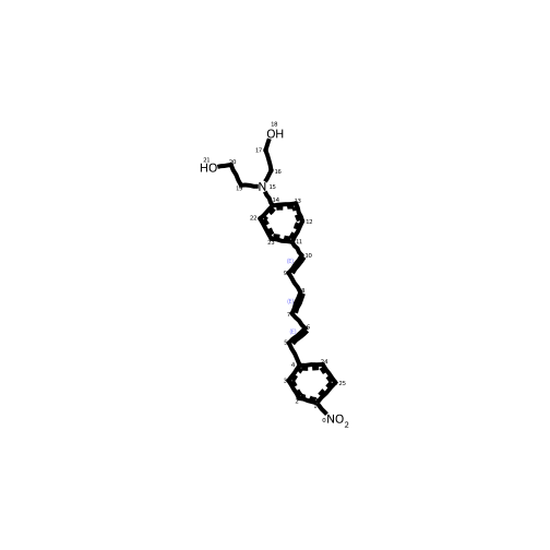 O=[N+]([O-])c1ccc(/C=C/C=C/C=C/c2ccc(N(CCO)CCO)cc2)cc1